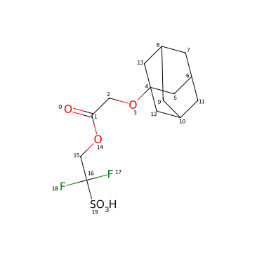 O=C(COC12CC3CC(CC(C3)C1)C2)OCC(F)(F)S(=O)(=O)O